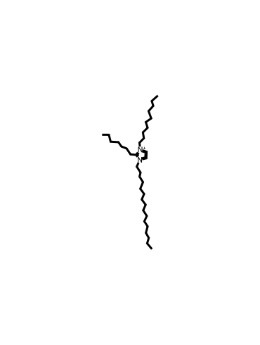 CCCCCCCCCCCCCCCCn1cc[n+](CCCCCCCCCC)c1CCCCCCC